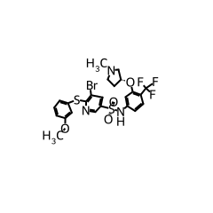 COc1cccc(Sc2ncc(S(=O)(=O)Nc3ccc(C(F)(F)F)c(O[C@@H]4CCN(C)C4)c3)cc2Br)c1